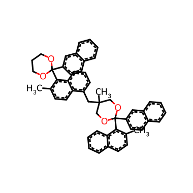 Cc1ccc2ccccc2c1C1(c2ccc3ccccc3c2)OCC(C)(Cc2cccc3c(C4(c5ccc6ccccc6c5)OCCCO4)c(C)ccc23)CO1